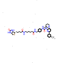 O=C(CCCC[C@@H]1SCC2NC(=O)NC21)NCCCCCC(=O)NCc1ccc(NC(=O)N2c3nc(-c4cccc(C(F)(F)F)c4)ccc3N3CCC[C@H]2C3)cc1